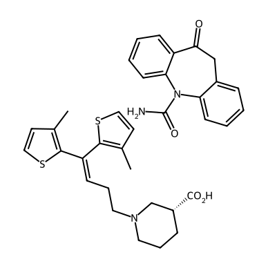 Cc1ccsc1C(=CCCN1CCC[C@@H](C(=O)O)C1)c1sccc1C.NC(=O)N1c2ccccc2CC(=O)c2ccccc21